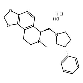 CN1CCc2c(ccc3c2OCO3)[C@H]1CN1CC[C@H](c2ccccc2)C1.Cl.Cl